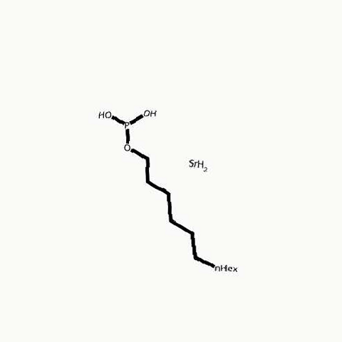 CCCCCCCCCCCCOP(O)O.[SrH2]